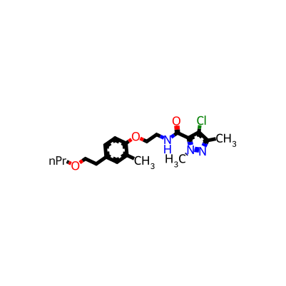 CCCOCCc1ccc(OCCNC(=O)c2c(Cl)c(C)nn2C)c(C)c1